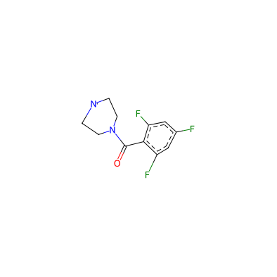 O=C(c1c(F)cc(F)cc1F)N1CC[N]CC1